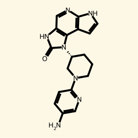 Nc1ccc(N2CCC[C@@H](n3c(=O)[nH]c4cnc5[nH]ccc5c43)C2)nc1